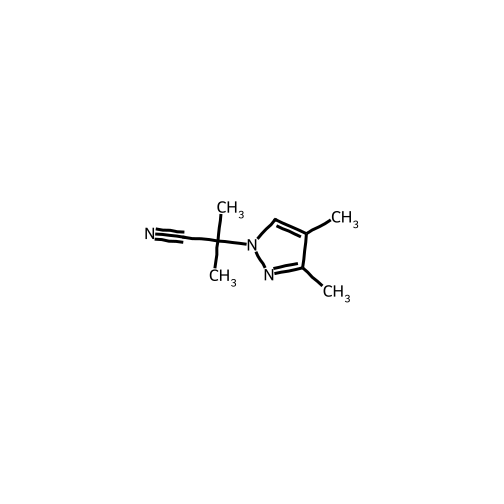 Cc1cn(C(C)(C)C#N)nc1C